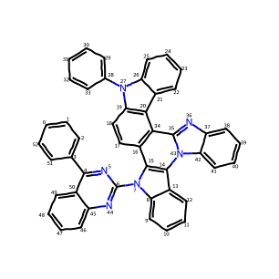 c1ccc(-c2nc(-n3c4ccccc4c4c3c3ccc5c(c6ccccc6n5-c5ccccc5)c3c3nc5ccccc5n34)nc3ccccc23)cc1